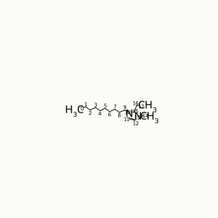 CCCCCCCCCCN1C=CN(C)C1CC